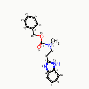 CN(CCc1nc2ccccc2[nH]1)C(=O)OCc1ccccc1